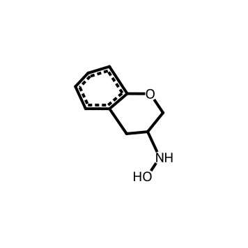 ONC1COc2ccccc2C1